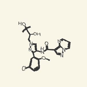 COc1ccc(Cl)cc1-c1nn(C[C@H](O)C(C)(C)O)cc1NC(=O)c1cnn2cccnc12